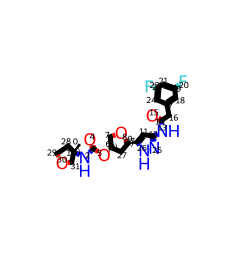 C[C@]1(NC(=O)O[C@H]2CO[C@@H](c3cc(NC(=O)Cc4cc(F)cc(F)c4)n[nH]3)C2)CCOC1